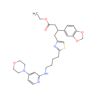 CCOC(=O)CC(Cc1csc(CCCCNc2cc(N3CCOCC3)ccn2)n1)c1ccc2c(c1)OCO2